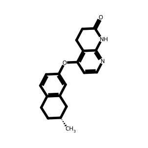 C[C@@H]1CCc2ccc(Oc3ccnc4c3CCC(=O)N4)cc2C1